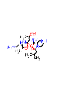 CC(=O)[C@H](CCN)NC(=O)[C@@H](NC(=O)[C@@H]1CNCCN1C(=O)CC(C)C)[C@H](C)O